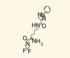 N[C@@H](CCCCNC(=O)c1cnn(-c2ccccc2)n1)C(=O)N1CC(F)(F)C1